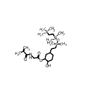 C=C(C)C(=O)NCC(=O)OC1CC(CC[Si](C)(C)O[Si](C)(C)CC[Si](C)(C)C)CCC1O